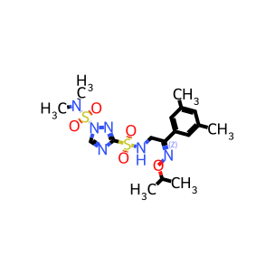 Cc1cc(C)cc(/C(CNS(=O)(=O)c2ncn(S(=O)(=O)N(C)C)n2)=N/OC(C)C)c1